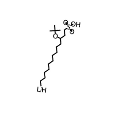 CCCCCCCCCCCC(CCS(=O)(=O)O)OC(C)(C)C.[LiH]